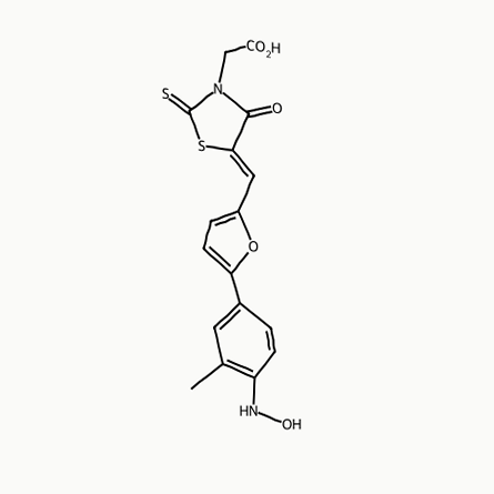 Cc1cc(-c2ccc(/C=C3\SC(=S)N(CC(=O)O)C3=O)o2)ccc1NO